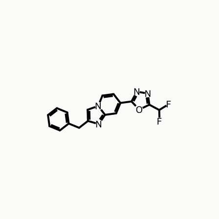 FC(F)c1nnc(-c2ccn3cc(Cc4ccccc4)nc3c2)o1